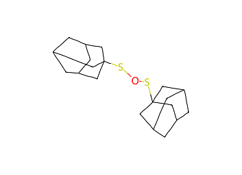 C1C2CC3CC1CC(SOSC14CC5CC(CC(C5)C1)C4)(C2)C3